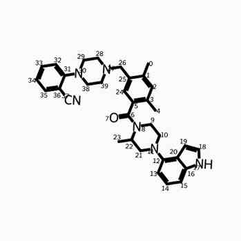 Cc1cc(C)c(C(=O)N2CCN(c3cccc4[nH]ccc34)CC2C)cc1CN1CCN(c2ccccc2C#N)CC1